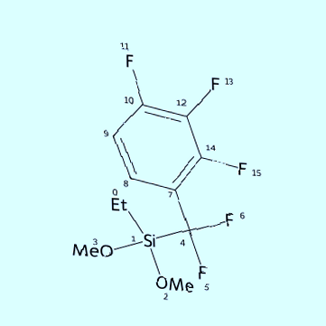 CC[Si](OC)(OC)C(F)(F)c1ccc(F)c(F)c1F